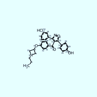 CCCN1CC(Oc2ccc(C(=O)c3c(-c4ccccc4)noc3-c3ccc(O)cc3)cc2)C1.Cl